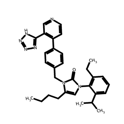 CCCCc1cn(-c2c(CC)cccc2C(C)C)c(=O)n1Cc1ccc(-c2ccncc2-c2nnn[nH]2)cc1